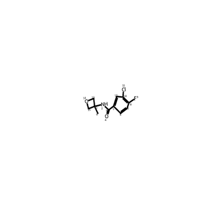 CC1(NC(=O)c2ccc(F)c(Cl)c2)COC1